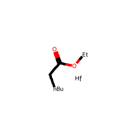 CCCCCC(=O)OCC.[Hf]